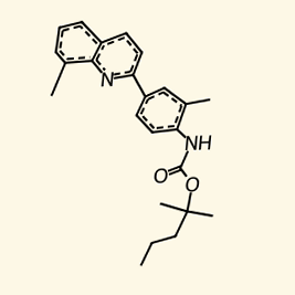 CCCC(C)(C)OC(=O)Nc1ccc(-c2ccc3cccc(C)c3n2)cc1C